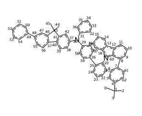 CC(C)(C)c1ccc(-c2cccc3c4ccccc4n(-c4ccccc4-c4ccc(N(c5ccccc5)c5ccc6c(c5)C(C)(C)c5cc(-c7ccccc7)ccc5-6)cc4)c23)cc1